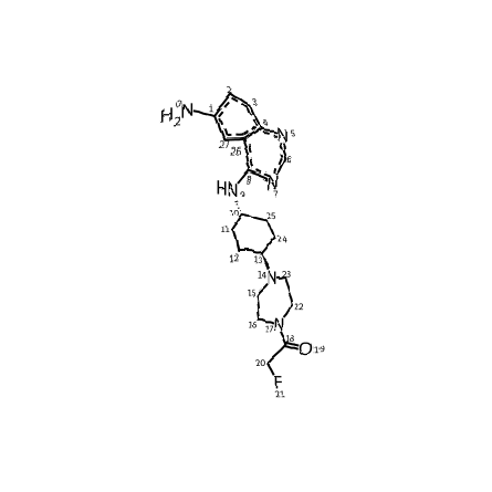 Nc1ccc2ncnc(N[C@H]3CC[C@H](N4CCN(C(=O)CF)CC4)CC3)c2c1